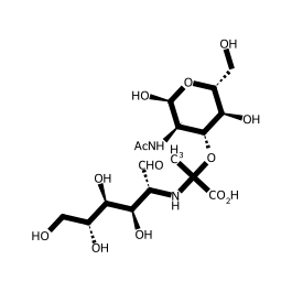 CC(=O)N[C@@H]1[C@@H](OC(C)(N[C@@H](C=O)[C@@H](O)[C@H](O)[C@H](O)CO)C(=O)O)[C@H](O)[C@@H](CO)O[C@@H]1O